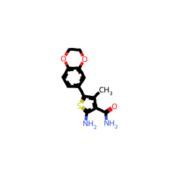 Cc1c(-c2ccc3c(c2)OCCO3)sc(N)c1C(N)=O